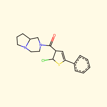 O=C(C1C=C(c2ccccc2)SC1Cl)N1CCN2CCCC2C1